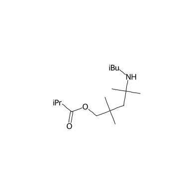 CCC(C)NC(C)(C)CC(C)(C)COC(=O)C(C)C